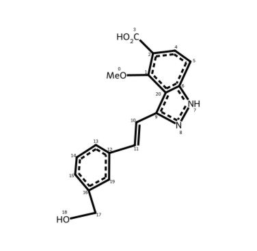 COc1c(C(=O)O)ccc2[nH]nc(/C=C/c3cccc(CO)c3)c12